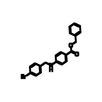 O=C(OCc1ccccc1)c1ccc(NCc2ccc(Br)cc2)cc1